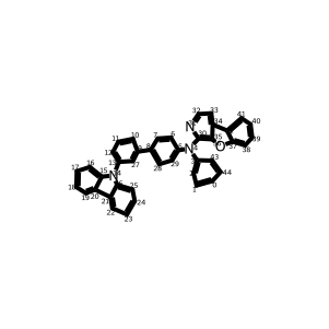 c1ccc(N(c2ccc(-c3cccc(-n4c5ccccc5c5ccccc54)c3)cc2)c2nccc3c2oc2ccccc23)cc1